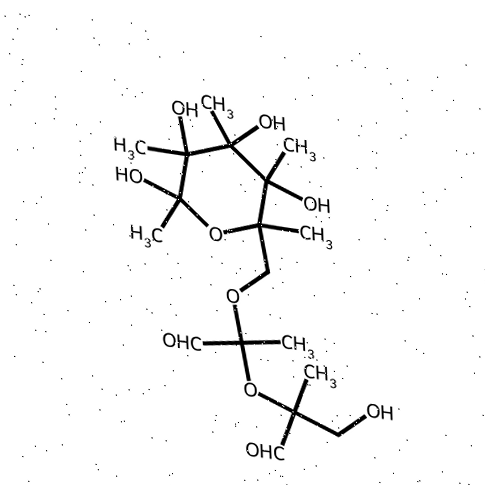 CC(C=O)(CO)OC(C)(C=O)OCC1(C)OC(C)(O)C(C)(O)C(C)(O)C1(C)O